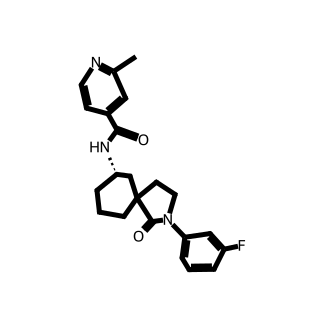 Cc1cc(C(=O)N[C@H]2CCCC3(CCN(c4cccc(F)c4)C3=O)C2)ccn1